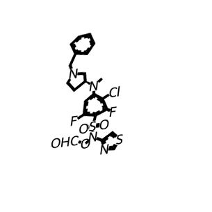 CN(c1cc(F)c(S(=O)(=O)N(OC=O)c2cscn2)c(F)c1Cl)[C@H]1CCN(Cc2ccccc2)C1